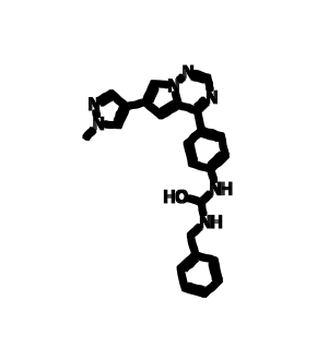 Cn1cc(-c2cc3c(-c4ccc(NC(O)NCc5ccccc5)cc4)ncnn3c2)cn1